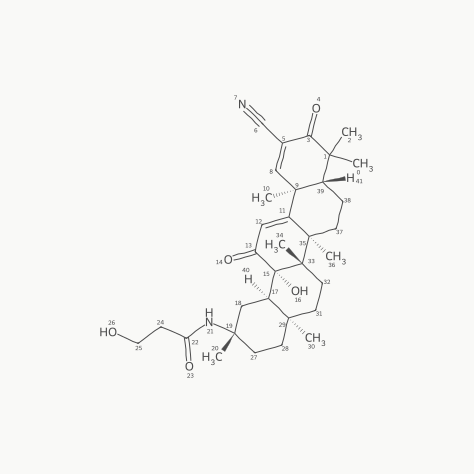 CC1(C)C(=O)C(C#N)=C[C@]2(C)C3=CC(=O)[C@]4(O)[C@@H]5C[C@@](C)(NC(=O)CCO)CC[C@]5(C)CC[C@@]4(C)[C@]3(C)CC[C@@H]12